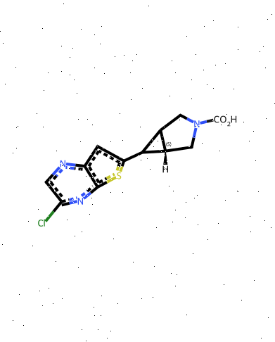 O=C(O)N1CC2C(c3cc4ncc(Cl)nc4s3)[C@H]2C1